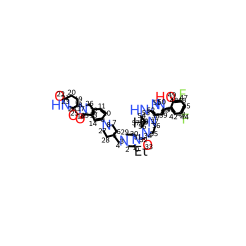 CCC1CN(CC2CCN(c3ccc4c(c3)C(=O)N(C3CCC(=O)NC3=O)C4)CC2)CCN1C(=O)N1CCN2c3cc(-c4cc(F)cc(F)c4O)nnc3NC[C@H]2C1